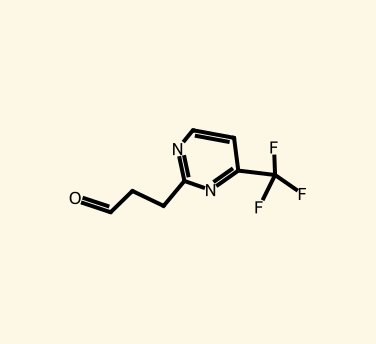 O=CCCc1nccc(C(F)(F)F)n1